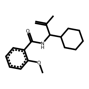 C=C(C)C(NC(=O)c1ccccc1OC)C1CCCCC1